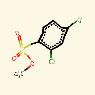 O=S(=O)(OC(Cl)(Cl)Cl)c1ccc(Cl)cc1Cl